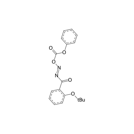 CC(C)(C)Oc1ccccc1C(=O)N=NOC(=O)Oc1ccccc1